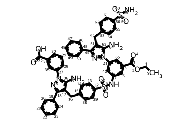 CCOC(=O)c1cc(NS(=O)(=O)c2ccc(Cc3c(-c4ccccc4)nn(-c4cccc(C(=O)O)c4)c3N)cc2)cc(-n2nc(-c3ccccc3)c(Cc3ccc(S(N)(=O)=O)cc3)c2N)c1